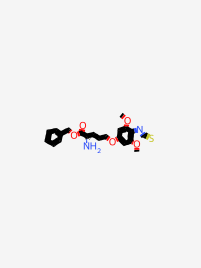 COc1cc(OCCC[C@H](N)C(=O)OCc2ccccc2)cc(OC)c1N=C=S